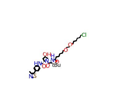 Cc1ncsc1-c1ccc(NC(=O)[C@@H]2C[C@@H](O)CN2C(=O)C(NC(=O)CCCCCOCCOCCCCCCCl)C(C)(C)C)cc1